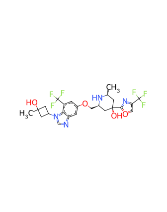 C[C@H]1C[C@](O)(c2nc(C(F)(F)F)co2)C[C@@H](COc2cc(C(F)(F)F)c3c(c2)ncn3C2CC(C)(O)C2)N1